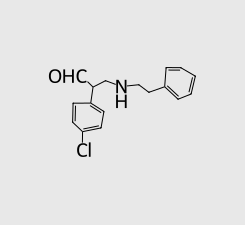 O=CC(CNCCc1ccccc1)c1ccc(Cl)cc1